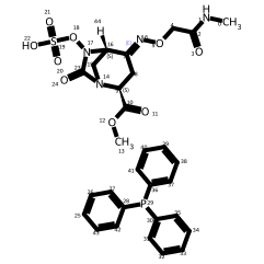 CNC(=O)CO/N=C1\C[C@@H](C(=O)OC)N2C[C@@H]1N(OS(=O)(=O)O)C2=O.c1ccc(P(c2ccccc2)c2ccccc2)cc1